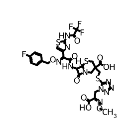 CON=C(Cn1nnnc1SCC1(C(=O)O)CS[C@@H]2C(NC(=O)C(=NOCc3ccc(F)cc3)c3csc(NC(=O)C(F)(F)F)n3)C(=O)N2C1)C(=O)O